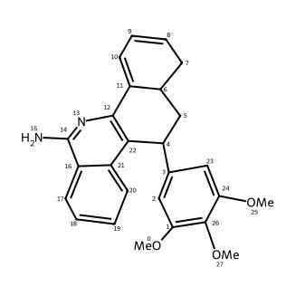 COc1cc(C2CC3CC=CC=C3c3nc(N)c4ccccc4c32)cc(OC)c1OC